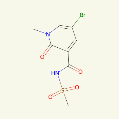 Cn1cc(Br)cc(C(=O)NS(C)(=O)=O)c1=O